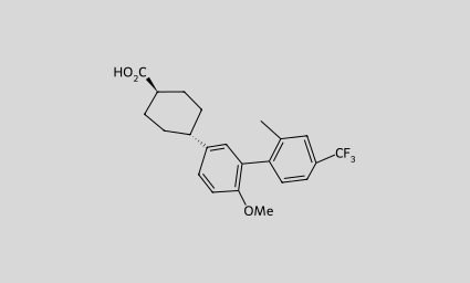 COc1ccc([C@H]2CC[C@H](C(=O)O)CC2)cc1-c1ccc(C(F)(F)F)cc1C